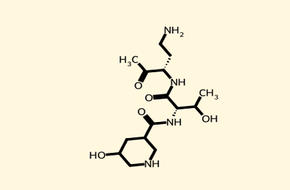 CC(=O)[C@H](CCN)NC(=O)[C@@H](NC(=O)C1CNCC(O)C1)C(C)O